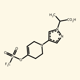 CC(C(=O)O)n1cc(N2CC=C(OS(=O)(=O)C(F)(F)F)CC2)cn1